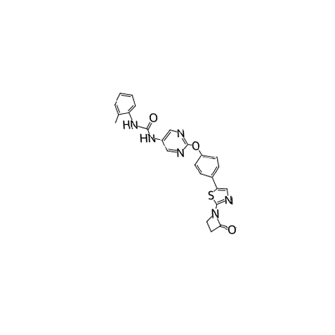 Cc1ccccc1NC(=O)Nc1cnc(Oc2ccc(-c3cnc(N4CCC4=O)s3)cc2)nc1